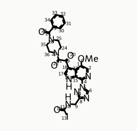 COc1cnc(-n2cnc(CNC(=O)I)n2)c2[nH]cc(C(=O)C(=O)N3CCN(C(=O)c4ccccc4)CC3)c12